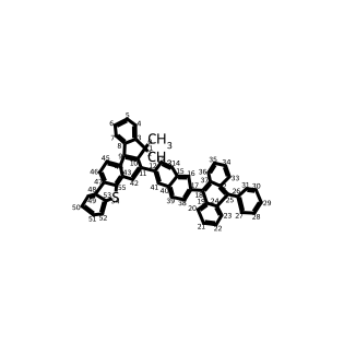 CC1(C)c2ccccc2-c2c1c(-c1ccc3cc(-c4c5ccccc5c(-c5ccccc5)c5ccccc45)ccc3c1)cc1c2ccc2c3ccccc3sc12